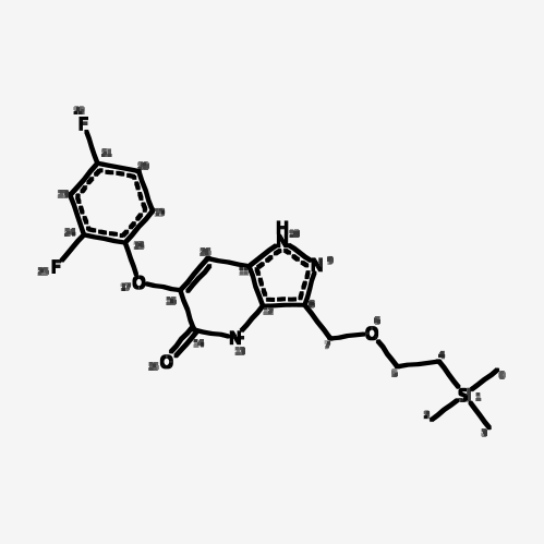 C[Si](C)(C)CCOCc1n[nH]c2c1[N]C(=O)C(Oc1ccc(F)cc1F)=C2